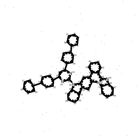 c1ccc(-c2ccc(-c3cc(-c4ccc(-c5ccccc5)cc4)nc(-n4c5ccccc5c5cc6c(cc54)c4ccccc4c4nc5ccccc5n64)n3)cc2)cc1